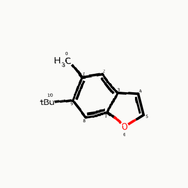 Cc1cc2ccoc2cc1C(C)(C)C